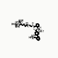 CCOc1nc2cccc(C(=O)NCCOC(=O)CCCC(CON(O)O)ON(O)O)c2n1Cc1ccc(-c2ccccc2-c2nn[nH]n2)cc1